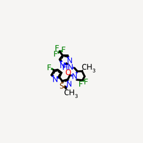 Cc1nc(C(=O)N2CC(F)(F)C[C@@H](C)C2CNc2ncc(C(F)(F)F)cn2)c(-c2ccc(F)cn2)s1